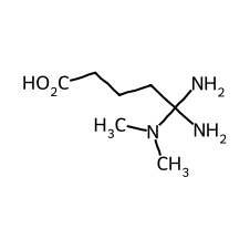 CN(C)C(N)(N)CCCC(=O)O